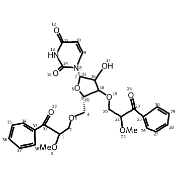 COC(COC[C@@H]1O[C@H](n2ccc(=O)[nH]c2=O)C(O)C1OCC(OC)C(=O)c1ccccc1)C(=O)c1ccccc1